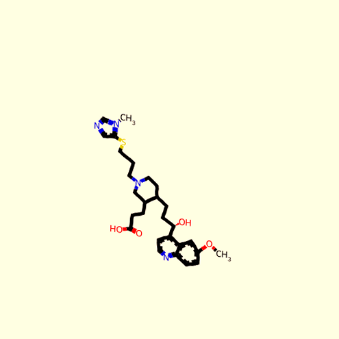 COc1ccc2nccc([C@@H](O)CCC3CCN(CCCSc4cncn4C)CC3CCC(=O)O)c2c1